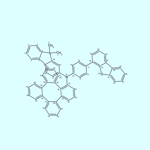 CC1(C)c2ccccc2-c2ccc(N(c3ccc(-c4cccc5c4oc4ccccc45)cc3)c3cccc4c3-c3ccccc3-c3ccccc3-c3ccccc3-4)cc21